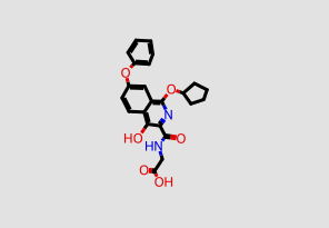 O=C(O)CNC(=O)c1nc(OC2CCCC2)c2cc(Oc3ccccc3)ccc2c1O